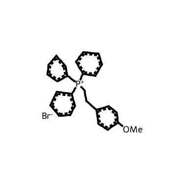 COc1ccc(CC[P+](c2ccccc2)(c2ccccc2)c2ccccc2)cc1.[Br-]